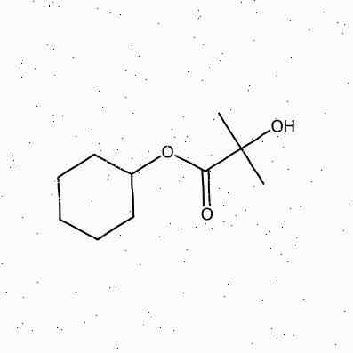 CC(C)(O)C(=O)OC1CCCCC1